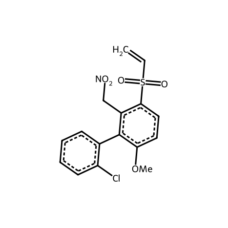 C=CS(=O)(=O)c1ccc(OC)c(-c2ccccc2Cl)c1C[N+](=O)[O-]